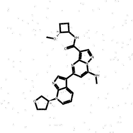 CNc1cc(-c2cnc3n([C@H]4CCOC4)cccc2-3)nc2c(C(=O)NC3CC[C@H]3OC)cnn12